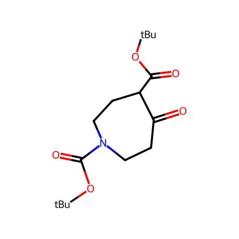 CC(C)(C)OC(=O)C1CCN(C(=O)OC(C)(C)C)CCC1=O